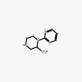 O=C(O)C1CNCCN1c1ncccn1